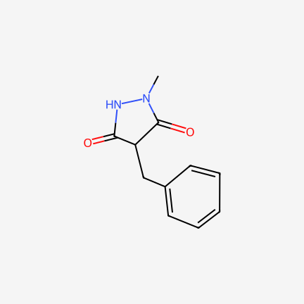 CN1NC(=O)C(Cc2ccccc2)C1=O